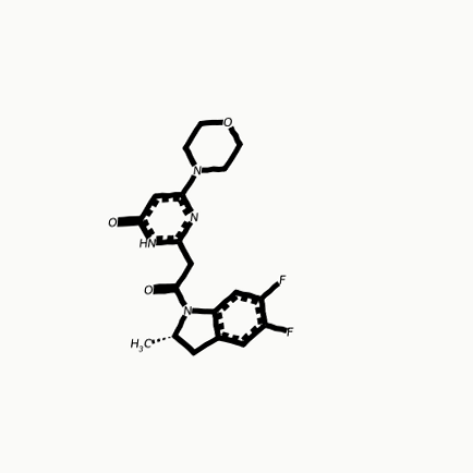 C[C@H]1Cc2cc(F)c(F)cc2N1C(=O)Cc1nc(N2CCOCC2)cc(=O)[nH]1